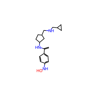 C=C(NC1CCC(CNCC2CC2)C1)c1ccc(NO)cc1